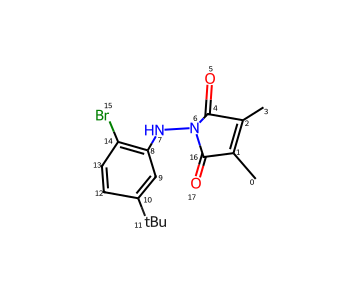 CC1=C(C)C(=O)N(Nc2cc(C(C)(C)C)ccc2Br)C1=O